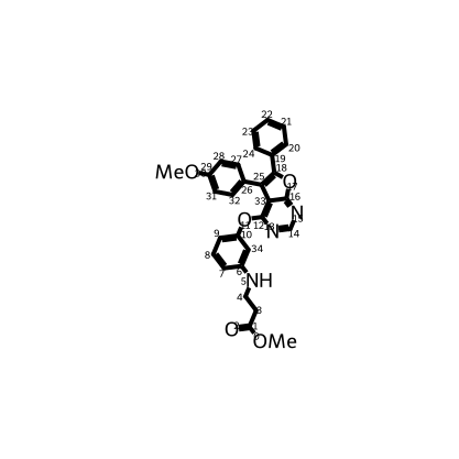 COC(=O)CCNc1cccc(Oc2ncnc3oc(-c4ccccc4)c(-c4ccc(OC)cc4)c23)c1